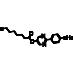 CCCCCCc1ccc(-c2ncc(OC(=O)CCCCCCC(C)CC)cn2)cc1